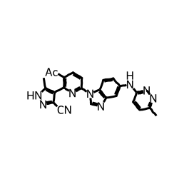 CC(=O)c1ccc(-n2cnc3cc(Nc4ccc(C)nn4)ccc32)nc1-c1c(C#N)n[nH]c1C